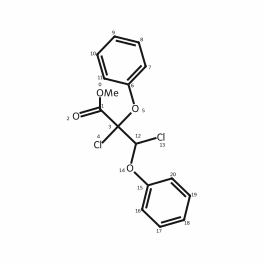 COC(=O)C(Cl)(Oc1ccccc1)C(Cl)Oc1ccccc1